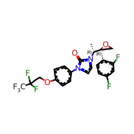 C[C@@H](n1ccn(-c2ccc(OCC(F)(F)C(F)(F)F)cc2)c1=O)[C@]1(c2ccc(F)cc2F)CO1